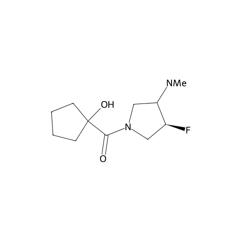 CNC1CN(C(=O)C2(O)CCCC2)C[C@@H]1F